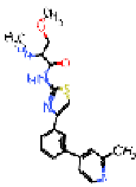 CNC(COC)C(=O)Nc1nc(-c2cccc(-c3ccnc(C)c3)c2)cs1